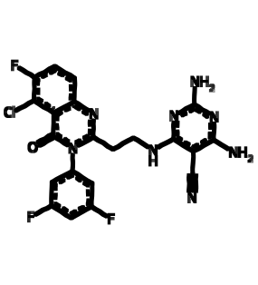 N#Cc1c(N)nc(N)nc1NCCc1nc2ccc(F)c(Cl)c2c(=O)n1-c1cc(F)cc(F)c1